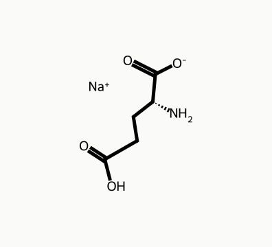 N[C@H](CCC(=O)O)C(=O)[O-].[Na+]